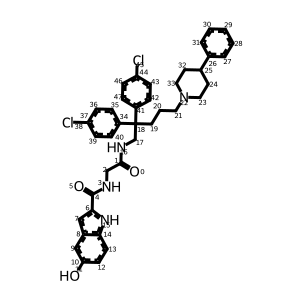 O=C(CNC(=O)c1cc2cc(O)ccc2[nH]1)NCC(CCCN1CCC(c2ccccc2)CC1)(c1ccc(Cl)cc1)c1ccc(Cl)cc1